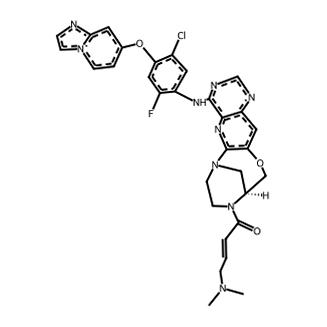 CN(C)C/C=C/C(=O)N1CCN2C[C@H]1COc1cc3ncnc(Nc4cc(Cl)c(Oc5ccn6ccnc6c5)cc4F)c3nc12